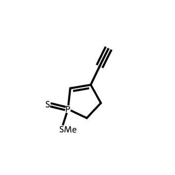 C#CC1=CP(=S)(SC)CC1